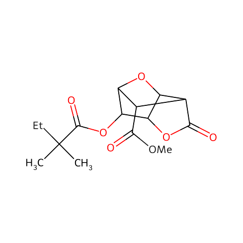 CCC(C)(C)C(=O)OC1C2OC(=O)C3C2OC1C3C(=O)OC